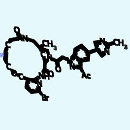 CC(=O)c1nn(CC(=O)N2CC3(C)CNC(=O)CC/C=C\COCc4ccc(Br)nc4NC(=O)C2C3)c2ccc(-c3cnc(C)nc3)cc12